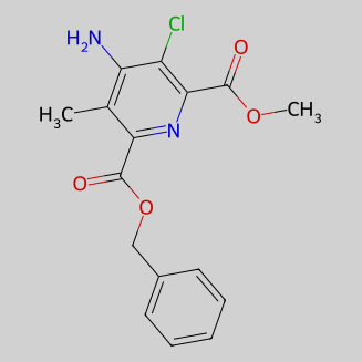 COC(=O)c1nc(C(=O)OCc2ccccc2)c(C)c(N)c1Cl